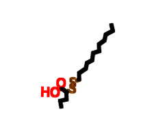 CCCCCCCCCCCCSSC(CCC)C(=O)O